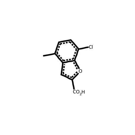 Cc1ccc(Cl)c2oc(C(=O)O)cc12